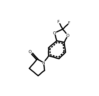 O=C1CCCN1c1ccc2c(c1)OC(F)(F)O2